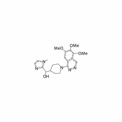 COc1cc2c(N3CCC(C(O)c4nccn4C)CC3)nncc2c(OC)c1OC